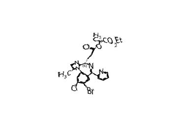 CCOC(=O)[C@H](C)OC(=O)CC[C@@H]1N=C(c2ccccn2)c2cc(Br)c(Cl)cc2-n2c(C)cnc21